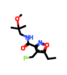 CCc1onc(C(=O)NCC(C)(C)OC)c1CF